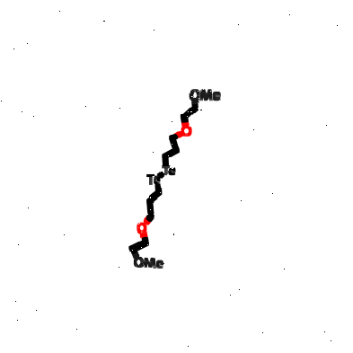 COCCOCCC[Te][Te]CCCOCCOC